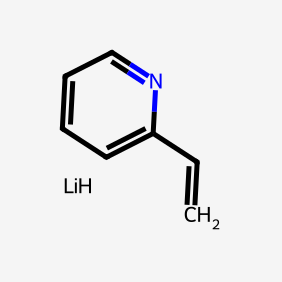 C=Cc1ccccn1.[LiH]